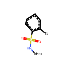 CCCCCCNS(=O)(=O)c1ccccc1CC